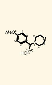 COc1ccc(C(C(C)=O)N2CCOCC2)cc1.Cl